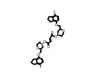 O=C(/C=C/C(=O)ON1CCOC(COc2ccc(F)c3c2CCC3)C1)ON1CCOC(COc2ccc(F)c3c2CCC3)C1